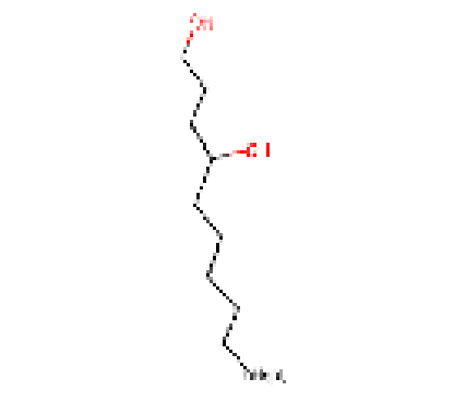 CCCCCCCCCCCCC(O)CCCO